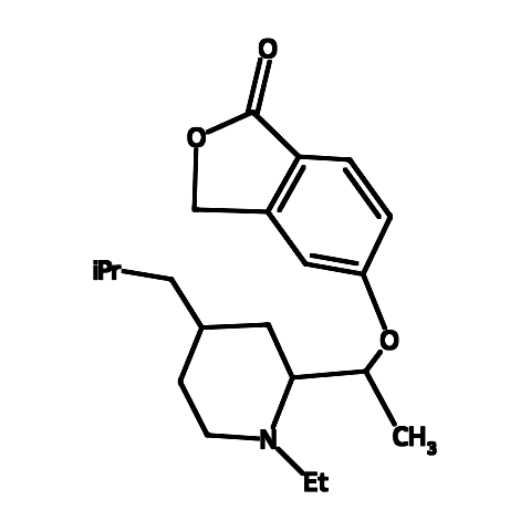 CCN1CCC(CC(C)C)CC1C(C)Oc1ccc2c(c1)COC2=O